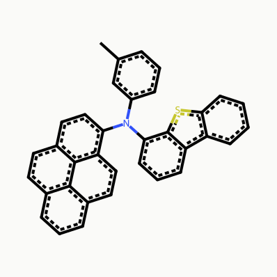 Cc1cccc(N(c2ccc3ccc4cccc5ccc2c3c45)c2cccc3c2sc2ccccc23)c1